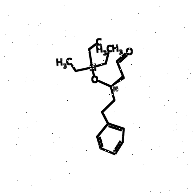 CC[Si](CC)(CC)O[C@@H](CC=O)CCc1ccccc1